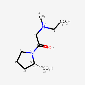 CCCN(CC(=O)O)CC(=O)N1CCC[C@H]1C(=O)O